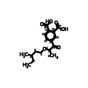 CCC(C)CCOC(C)C(=O)c1ccc(C(=O)O)c(C(=O)O)c1